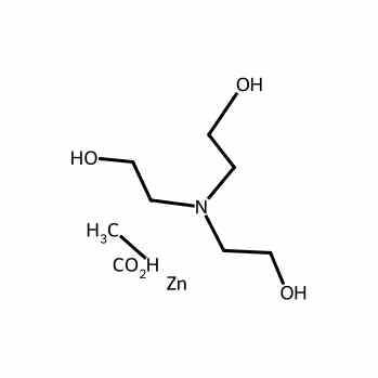 CC(=O)O.OCCN(CCO)CCO.[Zn]